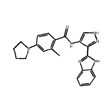 Cc1cc(N2CCCC2)ccc1C(=O)Nc1c[nH]nc1-c1nc2ccccc2[nH]1